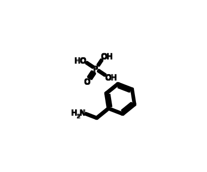 NCc1ccccc1.O=P(O)(O)O